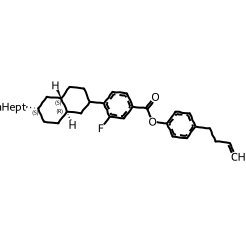 C=CCCc1ccc(OC(=O)c2ccc(C3CC[C@H]4C[C@@H](CCCCCCC)CC[C@@H]4C3)c(F)c2)cc1